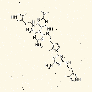 Cc1c[nH]cc1CCNc1nc(NN(CCc2ccn(-c3nc(N)nc(NCCc4c[nH]cc4C)n3)c2C)c2nc(N)nc(N)n2)nc(N(C)C)n1